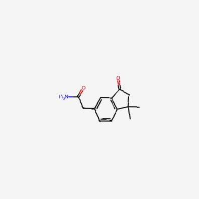 CC1(C)CC(=O)c2cc(CC(N)=O)ccc21